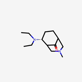 CCN(CC)[C@@H]1CCC2CN(C)CC1C2=O